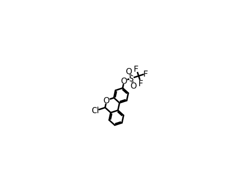 O=S(=O)(Oc1ccc2c(c1)OC(Cl)c1ccccc1-2)C(F)(F)F